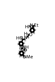 CCc1n[nH]c2cc(OCCNC[C@H](O)c3cccc(NS(=O)(=O)c4cccc(OC)c4)c3)ccc12